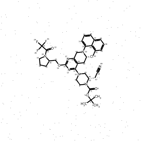 CC(C)(C)OC(=O)N1CCN(c2nc(OCC3CCCN3C(=O)C(F)(F)F)nc3c2CCN(c2cccc4cccc(Cl)c24)C3)C[C@@H]1CC#N